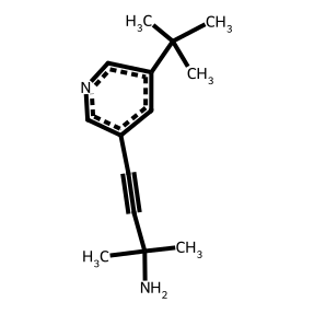 CC(C)(N)C#Cc1cncc(C(C)(C)C)c1